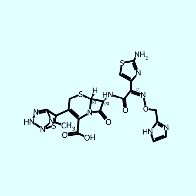 CN1C2=NNN1SC2C1=C(C(=O)O)N2C(=O)[C@@H](NC(=O)/C(=N\OCc3ncc[nH]3)c3csc(N)n3)[C@H]2SC1